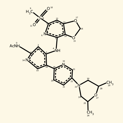 CC(=O)Nc1cc(Nc2nc(S(C)(=O)=O)cc3c2OCO3)c(-c2ccc(N3CC(C)OC(C)C3)cn2)cn1